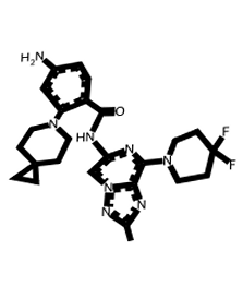 Cc1nc2c(N3CCC(F)(F)CC3)nc(NC(=O)c3ccc(N)cc3N3CCC4(CC3)CC4)cn2n1